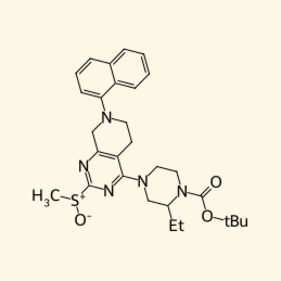 CCC1CN(c2nc([S+](C)[O-])nc3c2CCN(c2cccc4ccccc24)C3)CCN1C(=O)OC(C)(C)C